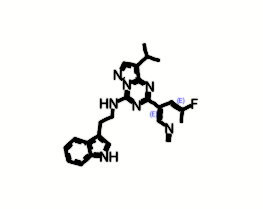 C=N/C=C(\C=C(/C)F)c1nc(NCCc2c[nH]c3ccccc23)n2ncc(C(C)C)c2n1